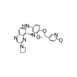 COc1ccc(COc2ccc(Nc3ccc4ncc(N5CCCC5)nc4c3C#N)cc2OC)cn1